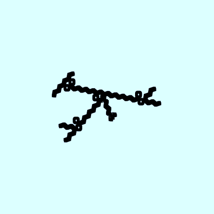 CCCCC(CCCC)OC(=O)CCCCCCCCC(CCCCCCCCC(=O)OC(CCCC)CCCC)N(CCCCN(C)C)C(=O)CCCCCCCC(=O)OC(CCCC)CCCC